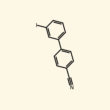 N#Cc1ccc(-c2cccc(I)c2)cc1